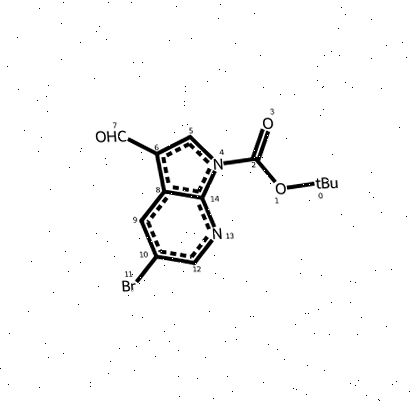 CC(C)(C)OC(=O)n1cc(C=O)c2cc(Br)cnc21